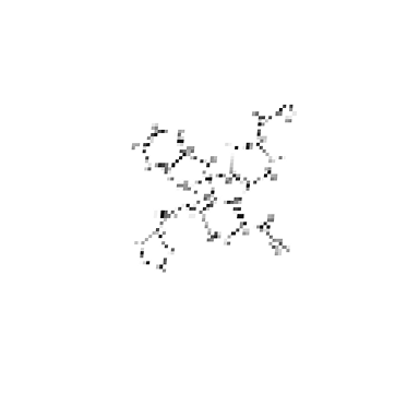 O=C(NC1CCCC1)NC(Cc1ccccn1)(c1cccc(OC(F)(F)F)c1)c1cccc(OC(F)(F)F)c1